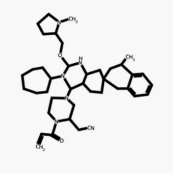 C=CC(=O)N1CCN(C2C3CCC4(Cc5ccccc5C(C)C4)CC3NC(OCC3CCCN3C)N2C2CCCCCC2)CC1CC#N